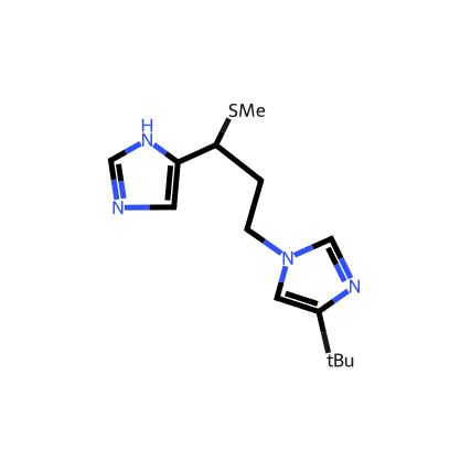 CSC(CCn1cnc(C(C)(C)C)c1)c1cnc[nH]1